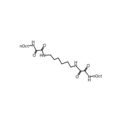 CCCCCCCCNC(=O)C(=O)NCCCCCCNC(=O)C(=O)NCCCCCCCC